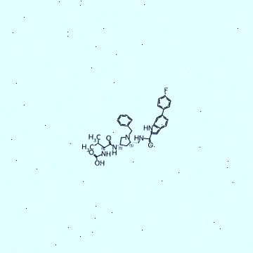 CC(C)[C@@H](NC(=O)O)C(=O)N[C@H]1C[C@@H](CNC(=O)c2cc3ccc(-c4ccc(F)cc4)cc3[nH]2)N(Cc2ccccc2)C1